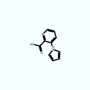 O=C(O)c1ncccc1[SH]1C=CC=C1